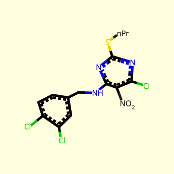 CCCSc1nc(Cl)c([N+](=O)[O-])c(NCc2ccc(Cl)c(Cl)c2)n1